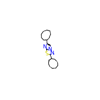 c1c(C2CCCCCCCC2)nc2sc(C3CCCCCCCC3)nn12